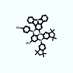 CC(C)(C)c1ccc(N2c3cc(C(C)(C)C)cc4c3B(c3cc5c(cc3N4c3ccc4c(c3)C(C)(C)CC4(C)C)C(C)(C)CC5(C)C)c3cc4c5ccccc5n5c6ccccc6c(c32)c45)cc1